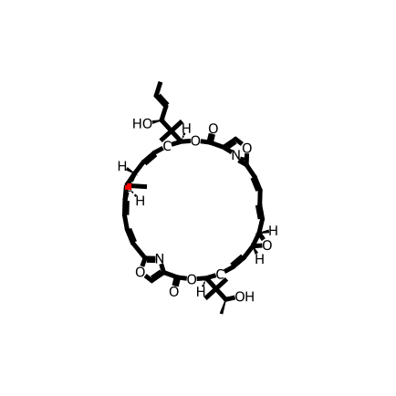 C/C=C/[C@H](O)C(C)(C)[C@@H]1C/C=C\[C@@H]2C/C(=C\C=C/c3nc(co3)C(=O)O[C@H](C(C)(C)[C@H](C)O)C/C=C\[C@H]3O[C@H]3/C=C/C=C\c3nc(co3)C(=O)O1)[C@@H]2C